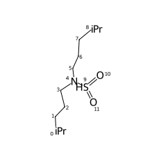 CC(C)CCCN(CCCC(C)C)[SH](=O)=O